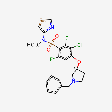 O=C(O)N(c1cscn1)S(=O)(=O)c1c(F)cc(O[C@H]2CCN(Cc3ccccc3)C2)c(Cl)c1F